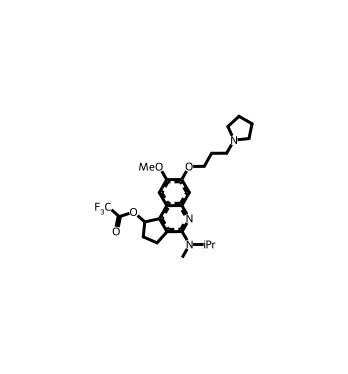 COc1cc2c3c(c(N(C)C(C)C)nc2cc1OCCCN1CCCC1)CCC3OC(=O)C(F)(F)F